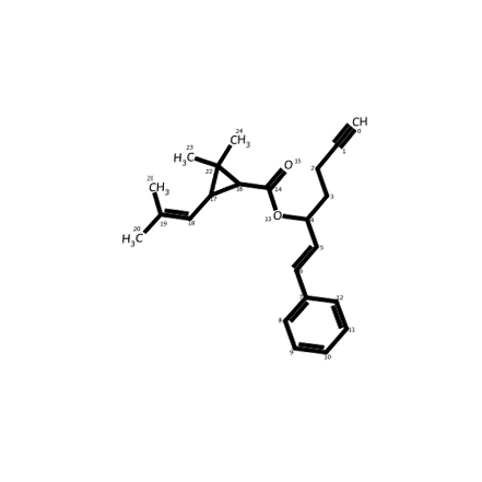 C#CCCC(/C=C/c1ccccc1)OC(=O)C1C(C=C(C)C)C1(C)C